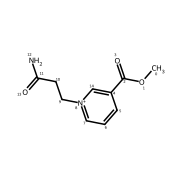 COC(=O)c1ccc[n+](CCC(N)=O)c1